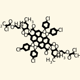 C=C(Cl)C(=O)OCCNC(=O)C(CC(C)C)N1C(=O)c2cc(Oc3ccc(Cl)cc3)c3c4c(Oc5ccc(Cl)cc5)cc5c6c(cc(Oc7ccc(Cl)cc7)c(c7c(Oc8ccc(Cl)cc8)cc(c2c37)C1=O)c64)C(=O)N(C(CC(C)C)C(=O)NCCOC(=O)C(=C)Cl)C5=O